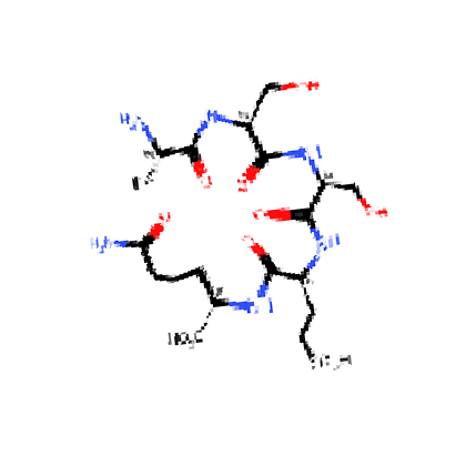 CC(C)[C@H](N)C(=O)N[C@@H](CO)C(=O)N[C@@H](CO)C(=O)N[C@@H](CCC(=O)O)C(=O)N[C@@H](CCC(N)=O)C(=O)O